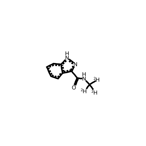 [2H]C([2H])([2H])NC(=O)c1n[nH]c2ccccc12